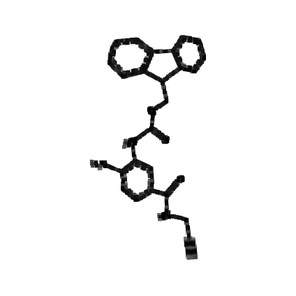 C#CCNC(=O)c1ccc(N)c(NC(=O)OCC2c3ccccc3-c3ccccc32)c1